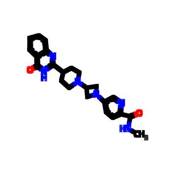 CNC(=O)c1ccc(N2CC(N3CCC(c4nc5ccccc5c(=O)[nH]4)CC3)C2)cn1